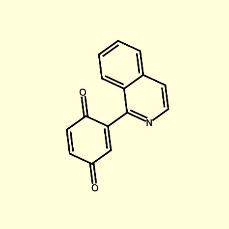 O=C1C=CC(=O)C(c2nccc3ccccc23)=C1